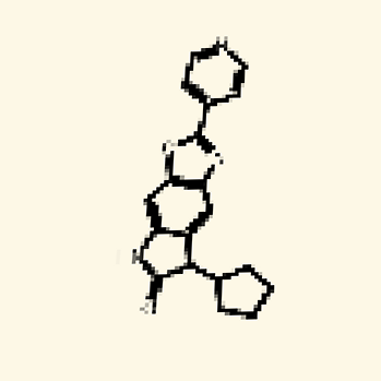 O=C1Nc2cc3oc(-c4ccncc4)nc3cc2C1C1CCCC1